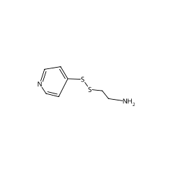 NCCSSc1ccncc1